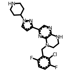 Fc1ccc(F)c(CN2CCNc3ncc(-c4ccn(C5CCNCC5)n4)nc32)c1Cl